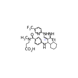 CCC(=N)/C(=C\Nc1ccc(C(F)(F)F)cn1)C(Nc1ccc(C(=O)N(C)CCC(=O)O)cc1)C1CCCCC1